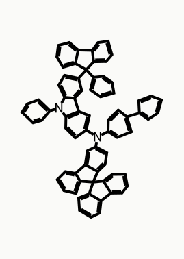 c1ccc(-c2ccc(N(c3ccc4c(c3)-c3ccccc3C43c4ccccc4-c4ccccc43)c3ccc4c(c3)c3cc(C5(c6ccccc6)c6ccccc6-c6ccccc65)ccc3n4-c3ccccc3)cc2)cc1